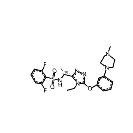 CCn1c(Oc2cccc(N3CCN(C)CC3)c2)nnc1[C@@H](C)NS(=O)(=O)c1c(F)cccc1F